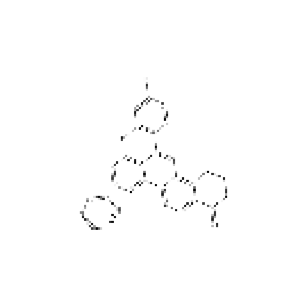 O=C1CCCc2c1ccc1c2cc(-c2ccc(F)cc2F)c2ccccc21.c1cnccn1